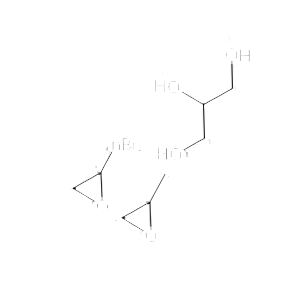 CC1CO1.CCCCC1CO1.OCC(O)CO